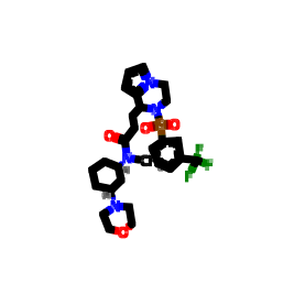 CN(C(=O)CCC1c2cccn2CCN1S(=O)(=O)c1cccc(C(F)(F)F)c1)[C@H]1CCC[C@@H](N2CCOCC2)C1